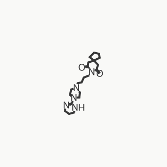 O=C1CC2(CCCC2)CC(=O)N1CCCCN1CCN(C2=NCCCN2)CC1